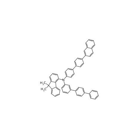 CC1(C)c2ccccc2-c2c(N(c3ccc(-c4ccc(-c5ccc6ccccc6c5)cc4)cc3)c3cccc(-c4ccc(-c5ccccc5)cc4)c3)cccc21